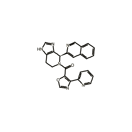 O=C(c1ocnc1-c1ccccn1)N1CCc2[nH]cnc2[C@H]1c1cc2ccccc2cn1